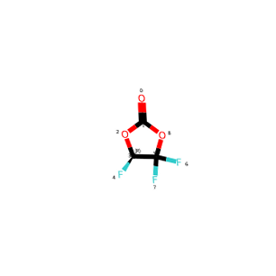 O=C1O[C@H](F)C(F)(F)O1